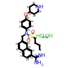 CCCCS(=O)(=O)N(Cc1ccc2ccc(C(=N)N)cc2c1)c1ccc(OC2CCNCC2)cc1.Cl.Cl